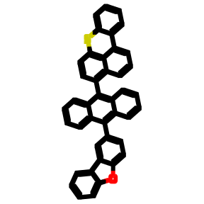 c1ccc2c(c1)Sc1ccc(-c3c4ccccc4c(-c4ccc5oc6ccccc6c5c4)c4ccccc34)c3cccc-2c13